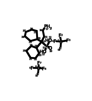 F[B-](F)(F)F.F[B-](F)(F)F.O=P(O)(O)C(CCP)(C1CCCCC1)C1CCCCC1